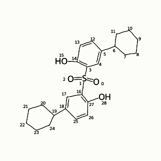 O=S(=O)(c1cc(C2CCCCC2)ccc1O)c1cc(C2CCCCC2)ccc1O